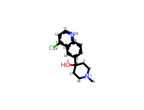 CN1CCC(O)(c2ccc3nccc(Cl)c3c2)CC1